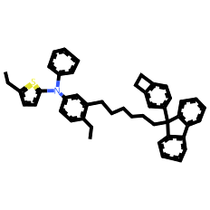 CCc1ccc(N(c2ccccc2)c2ccc(CC)c(CCCCCCC3(c4ccc5c(c4)CC5)c4ccccc4-c4ccccc43)c2)s1